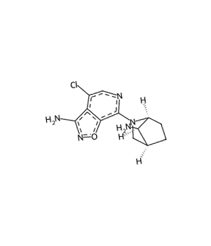 Nc1noc2c(N3C[C@@H]4CC[C@H]3[C@@H]4N)ncc(Cl)c12